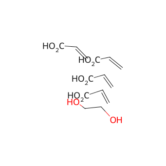 C=CC(=O)O.C=CC(=O)O.C=CC(=O)O.C=CC(=O)O.OCCO